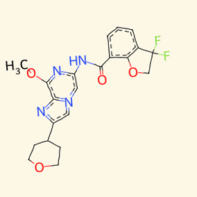 COc1nc(NC(=O)c2cccc3c2OCC3(F)F)cn2cc(C3CCOCC3)nc12